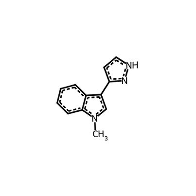 Cn1cc(-c2cc[nH]n2)c2ccccc21